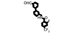 O=Cc1cccc(-c2cccc(CNC(=O)c3ccc(C(F)(F)F)cc3F)c2)c1